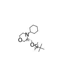 CC(C)(C)[Si](C)(C)OC[C@@H]1COCCN1C1CCCCC1